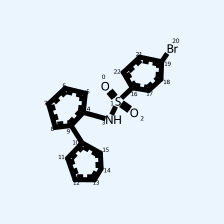 O=S(=O)(Nc1ccccc1-c1ccccc1)c1ccc(Br)cc1